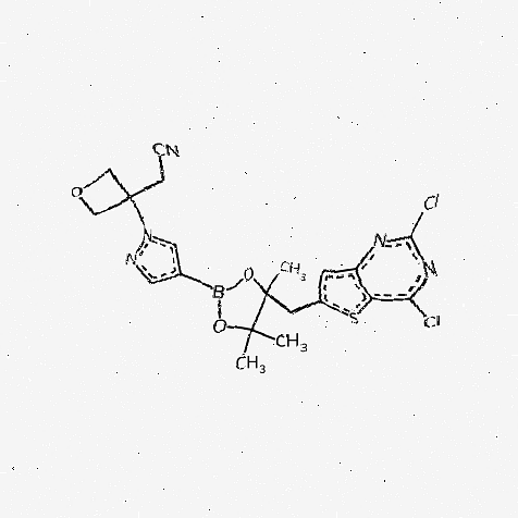 CC1(C)OB(c2cnn(C3(CC#N)COC3)c2)OC1(C)Cc1cc2nc(Cl)nc(Cl)c2s1